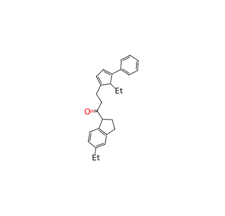 CCc1ccc2c(c1)CCC2C(=O)CCC1=CC=C(c2ccccc2)C1CC